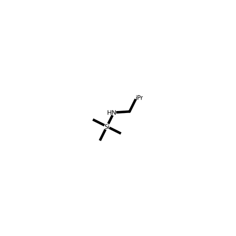 CC(C)CN[Si](C)(C)C